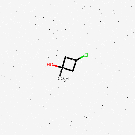 O=C(O)C1(O)CC(Cl)C1